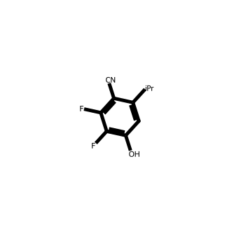 CC(C)c1cc(O)c(F)c(F)c1C#N